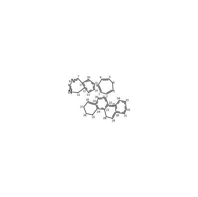 C1=CC=CCC=C1.C1=NC=NCc2ccccc21.C1=c2ccc3c(c2CCC1)CC=c1ccccc1=3